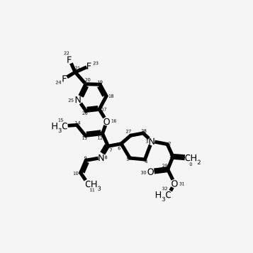 C=C(CN1CCC(C(=N/C=C\C)/C(=C/CC)Oc2ccc(C(F)(F)F)nc2)CC1)C(=O)OC